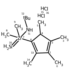 CC1=C(C)C(C)[C]([Zr]([CH3])([CH3])(=[SiH2])[NH]C(C)(C)C)=C1C.Cl.Cl